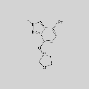 CC(C)c1ccc(O[C@@H]2CCOC2)c2nn(C)cc12